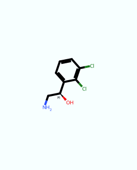 NC[C@H](O)c1cccc(Cl)c1Cl